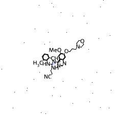 COc1cc2c(/N=C(\NCCC#N)Nc3c(C)cccc3C)ncnc2cc1OCCCN1CCOCC1